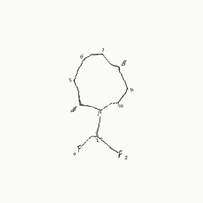 F[C](F)C1CCCCCCC1